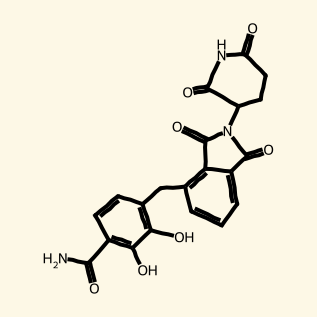 NC(=O)c1ccc(Cc2cccc3c2C(=O)N(C2CCC(=O)NC2=O)C3=O)c(O)c1O